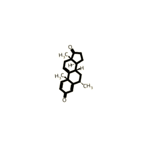 C[C@H]1C[C@@H]2C(=CC[C@]3(C)C(=O)CC[C@@H]23)[C@@]2(C)C=CC(=O)C=C12